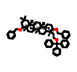 CC1(C)C[C@@H]2C3=CC[C@@H]4[C@@]5(C)CC[C@H](OCc6ccccc6)[C@@](C)(CCOC(c6ccccc6)(c6ccccc6)c6ccccc6)C5CC[C@@]4(C)[C@]3(C)CC[C@@]2(C)[C@H](OCc2ccccc2)C1